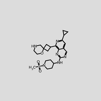 CS(=O)(=O)N1CCC(Nc2ncc3cc(C4CC4)nc(C4CC5(CNCCO5)C4)c3n2)CC1